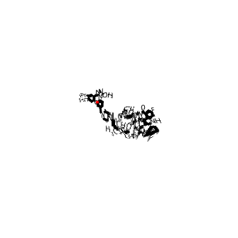 CC(C)c1cc(-c2nnc(O)n2-c2ccc(CN3CCN(CCC(C)(C)SS[C@H](C)COC(=O)N(CCN(C)C)Cn4nc5c6c(cc(F)cc6c4=O)N[C@H](c4ccc(F)cc4)[C@H]5c4ncnn4C)CC3)cc2)c(O)cc1O